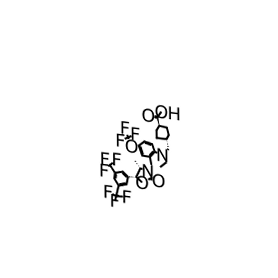 CCN(C[C@H]1CC[C@H](C(=O)O)CC1)c1ccc(OC(F)(F)F)cc1CN1C(=O)O[C@H](c2cc(C(F)(F)F)cc(C(F)(F)F)c2)[C@@H]1C